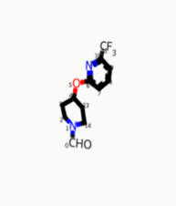 O=CN1CCC(Oc2cccc(C(F)(F)F)n2)CC1